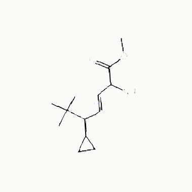 COC(=O)C(N)/C=C/C(C1CC1)C(C)(C)C